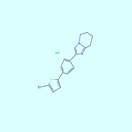 CCc1ccc(-c2ccc(-c3cn4c(n3)CCCC4)cc2)s1.Cl